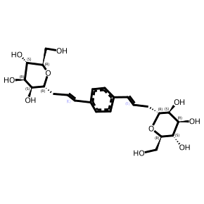 OC[C@H]1O[C@H](C/C=C/c2ccc(/C=C/C[C@H]3O[C@H](CO)[C@@H](O)[C@H](O)[C@@H]3O)cc2)[C@@H](O)[C@@H](O)[C@@H]1O